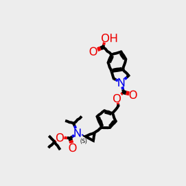 CC(C)N(C(=O)OC(C)(C)C)[C@H]1CC1c1ccc(COC(=O)N2Cc3ccc(C(=O)O)cc3C2)cc1